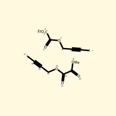 CCOC(=O)C(=O)OCC#CI.COC(=O)C(=O)OCC#CI